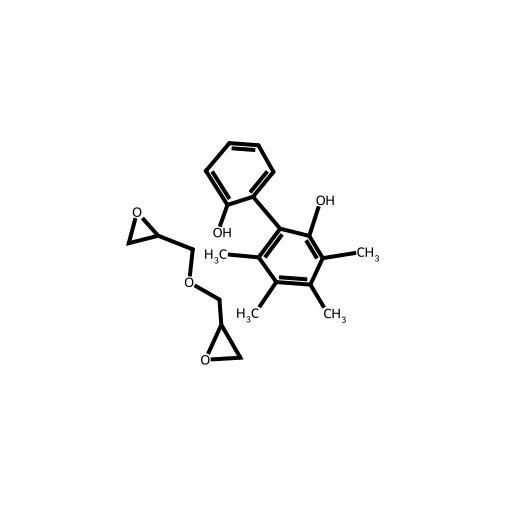 C(OCC1CO1)C1CO1.Cc1c(C)c(C)c(-c2ccccc2O)c(O)c1C